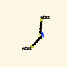 CCCCCCCCSSCCCCCCCCc1nnc(CCCCCCCCSSCCCCCCCC)s1